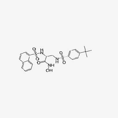 CC(C)(C)c1ccc(S(=O)(=O)NCC(NS(=O)(=O)c2cccc3ccccc23)C(=O)NO)cc1